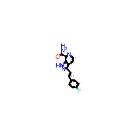 NC(=O)c1n[c]cc2c(/C=C/c3ccc(F)cc3)n[nH]c12